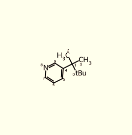 CC(C)(C)C(C)(C)c1cccnc1